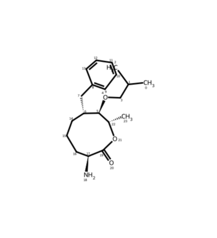 CC(C)CO[C@@H]1[C@@H](Cc2ccccc2)CCC[C@H](N)C(=O)O[C@H]1C